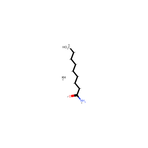 NC(=O)CCCCCCCC(=O)O.[KH]